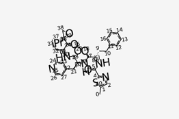 Cc1cnc(C(=O)N[C@@H](CCc2ccccc2)C(=O)N[C@@H](Cc2ccncc2)C(=O)N[C@@H](CC(C)C)C(=O)[C@@]2(C)CO2)s1